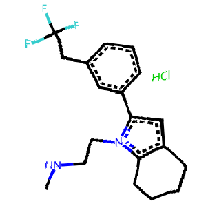 CNCCn1c(-c2cccc(CC(F)(F)F)c2)cc2c1CCCC2.Cl